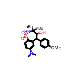 CCCCC1(CCCC)NS(=O)(=O)c2ccc(N(C)C)cc2C(c2ccc(OC)cc2)C1O